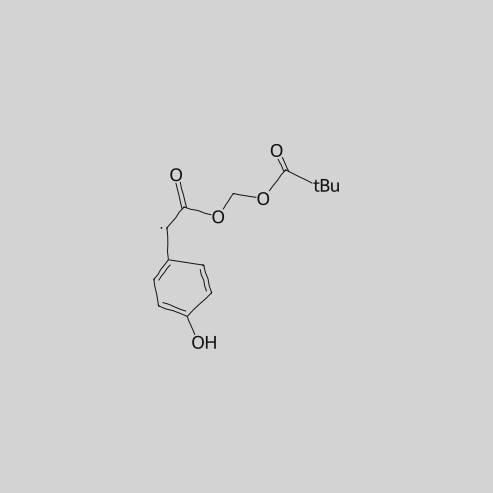 CC(C)(C)C(=O)OCOC(=O)[CH]c1ccc(O)cc1